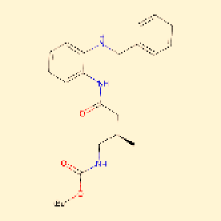 C[C@@H](CNC(=O)OC(C)(C)C)CC(=O)Nc1ccccc1NCc1ccccc1